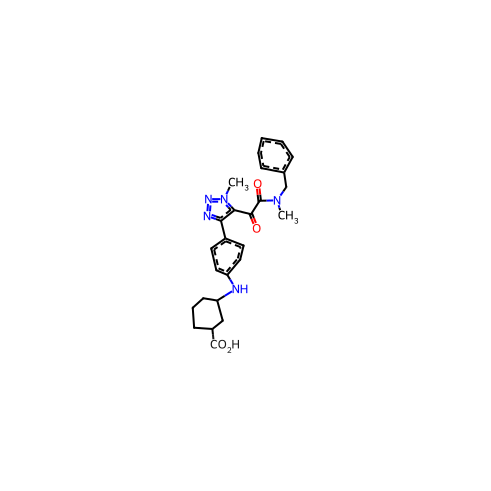 CN(Cc1ccccc1)C(=O)C(=O)c1c(-c2ccc(NC3CCCC(C(=O)O)C3)cc2)nnn1C